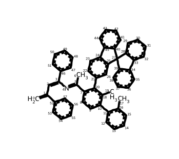 C=C(/C=C(\N=C(/C)c1ccc(-c2ccccc2C)c(C)c1-c1ccc2c(c1)C1(c3ccccc3-c3ccccc31)c1ccccc1-2)c1ccccc1)c1ccccc1